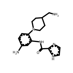 NCC1CCN(c2ccc(N)cc2NC(=O)c2ncc[nH]2)CC1